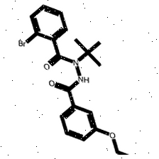 CCOc1cccc(C(=O)NN(C(=O)c2ccccc2Br)C(C)(C)C)c1